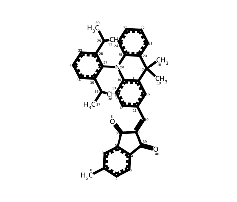 Cc1ccc2c(c1)C(=O)/C(=C\c1ccc3c(c1)C(C)(C)c1ccccc1N3c1c(C(C)C)cccc1C(C)C)C2=O